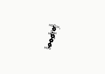 Cc1ccc(OC2Nc3cc(F)c(-c4ccc(-c5ccc(C(=O)O)cc5)cc4)cc3N2)cc1C(=O)O